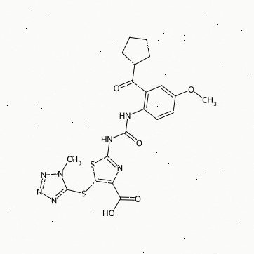 COc1ccc(NC(=O)Nc2nc(C(=O)O)c(Sc3nnnn3C)s2)c(C(=O)C2CCCC2)c1